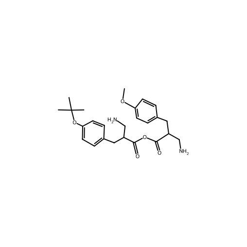 COc1ccc(CC(CN)C(=O)OC(=O)C(CN)Cc2ccc(OC(C)(C)C)cc2)cc1